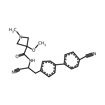 COC1(C(=O)NC(C#N)Cc2ccc(-c3ccc(C#N)cc3)cc2)CN(C)C1